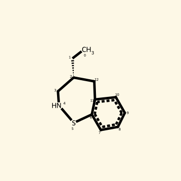 CC[C@H]1CNSc2ccccc2C1